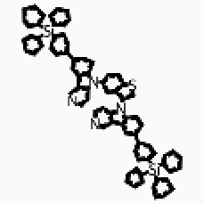 c1ccc([Si](c2ccccc2)(c2ccccc2)c2ccc(-c3ccc4c(c3)c3cnccc3n4-c3ccc4scc(-n5c6ccncc6c6cc(-c7ccc([Si](c8ccccc8)(c8ccccc8)c8ccccc8)cc7)ccc65)c4c3)cc2)cc1